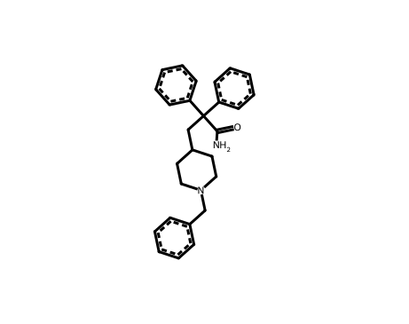 NC(=O)C(CC1CCN(Cc2ccccc2)CC1)(c1ccccc1)c1ccccc1